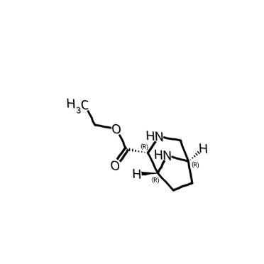 CCOC(=O)[C@@H]1NC[C@H]2CC[C@H]1N2